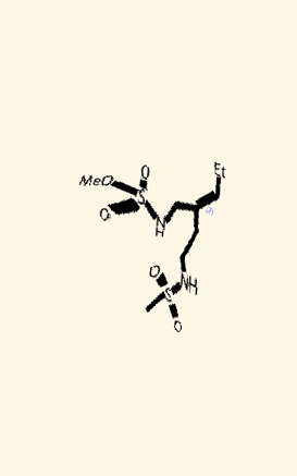 CC/C=C(/CCNS(C)(=O)=O)CNS(=O)(=O)OC